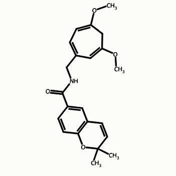 COC1=CC=C(CNC(=O)c2ccc3c(c2)C=CC(C)(C)O3)C=C(OC)C1